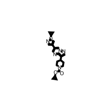 O=C(OC1CC1)N1CCC(c2cnn3cc(-c4cnn(C5CC5)c4)cnc23)CC1